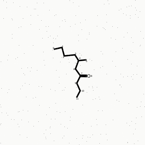 CCCCC(C)CC(=O)CCC